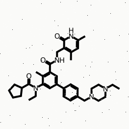 CCN1CCN(Cc2ccc(-c3cc(C(=O)NCc4c(C)cc(C)[nH]c4=O)c(C)c(N(CC)C(=O)C4CCCC4)c3)cc2)CC1